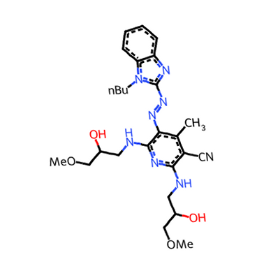 CCCCn1c(N=Nc2c(NCC(O)COC)nc(NCC(O)COC)c(C#N)c2C)nc2ccccc21